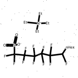 CCCCCCC(F)C(F)(F)C(F)(F)C(F)(F)C(F)(F)C(F)(F)S(=O)(=O)[O-].CC[N+](CC)(CC)CC